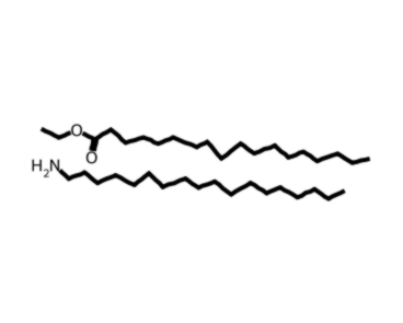 CCCCCCCCCCCCCCCCCC(=O)OCC.CCCCCCCCCCCCCCCCCCN